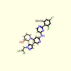 COc1cc(F)cc(F)c1-c1nccc(Nc2cc(N3CCC[C@H](O)C3)c(-c3cnn(CC(F)F)c3)cn2)n1